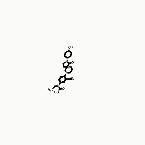 CCN(C(=O)O)c1ccc(N2CCC[C@]3(CCN([C@H]4CC[C@H](O)CC4)C3=O)C2)c(C#N)c1